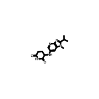 CC(C)c1nc2ncc(NC3CCC(=O)NC3=O)cc2n1C